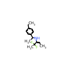 CC=C(NC(C)c1ccc(CC)cc1)C(C)(F)F